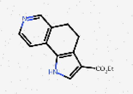 CCOC(=O)c1c[nH]c2c1CCc1cnccc1-2